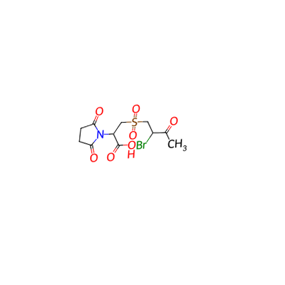 CC(=O)C(Br)CS(=O)(=O)CC(C(=O)O)N1C(=O)CCC1=O